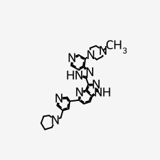 CN1CCN(c2cncc3[nH]c(-c4n[nH]c5ccc(-c6cncc(CN7CCCCC7)c6)nc45)nc23)CC1